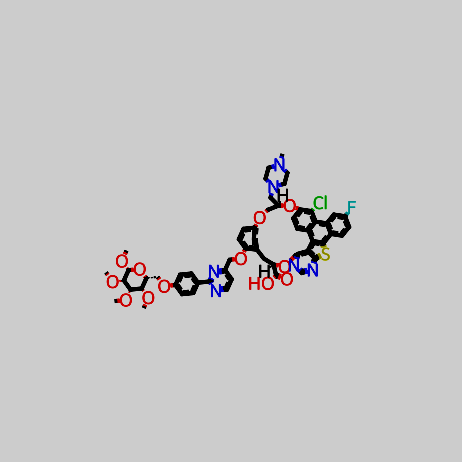 CO[C@H]1O[C@H](COc2ccc(-c3nccc(COc4ccc5cc4C[C@H](C(=O)O)Oc4ncnc6sc7c8ccc(F)cc8c8c(Cl)c(ccc8c7c46)O[C@H](CN4CCN(C)CC4)CO5)n3)cc2)[C@@H](OC)[C@H](OC)[C@@H]1OC